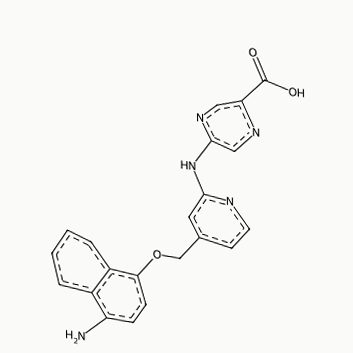 Nc1ccc(OCc2ccnc(Nc3cnc(C(=O)O)cn3)c2)c2ccccc12